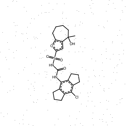 CC1(O)CCCCc2oc(S(=O)(=O)NC(=O)Nc3c4c(c(Cl)c5c3CCC5)CCC4)cc21